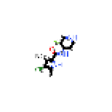 Cc1[nH]c(C(=O)N[C@@H]2CCNC[C@@H]2F)c(C#N)c1Cl